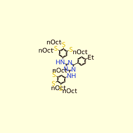 [CH2]Cc1ccc(-c2nc(Nc3cc(SCCCCCCCC)c(SCCCCCCCC)c(SCCCCCCCC)c3)nc(Nc3cc(SCCCCCCCC)c(SCCCCCCCC)c(SCCCCCCCC)c3)n2)cc1